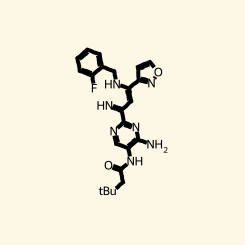 CC(C)(C)CC(=O)Nc1cnc(C(=N)/C=C(\NCc2ccccc2F)c2ccon2)nc1N